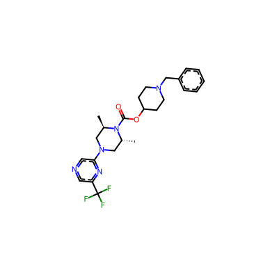 C[C@@H]1CN(c2cncc(C(F)(F)F)n2)C[C@@H](C)N1C(=O)OC1CCN(Cc2ccccc2)CC1